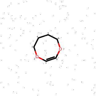 C1=C\OCCCCO/1